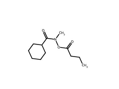 CCCC(=O)ON(C)C(=O)C1CCCCC1